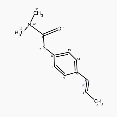 C/C=C/c1ccc(SC(=O)N(C)C)cc1